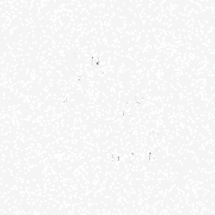 Cc1ncsc1CCOC(=O)c1ccc(C2=NCCc3ccc(Cl)cc32)cc1